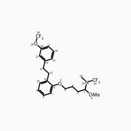 COC(CCCOc1ccccc1CCc1cccc(OC(F)(F)F)c1)N(C)C(F)(F)F